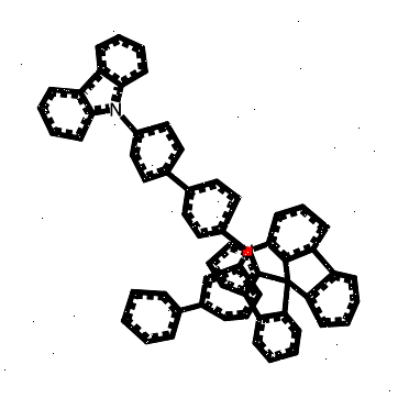 c1ccc(-c2cccc(N(c3ccc(-c4ccc(-n5c6ccccc6c6ccccc65)cc4)cc3)c3cccc4c3C3(c5ccccc5-c5ccccc53)c3ccccc3-4)c2)cc1